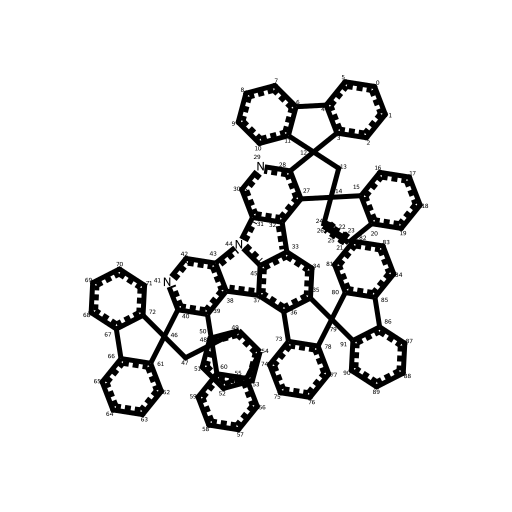 c1ccc2c(c1)-c1ccccc1C21CC2(c3ccccc3-c3ccccc32)c2c1ncc1c2c2cc3c(c4c5c6c(ncc5n1c24)C1(CC62c4ccccc4-c4ccccc42)c2ccccc2-c2ccccc21)-c1ccccc1C31c2ccccc2-c2ccccc21